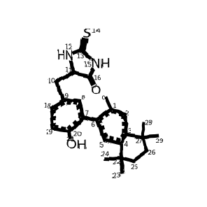 Cc1cc2c(cc1-c1cc(CC3NC(=S)NC3=O)ccc1O)C(C)(C)CCC2(C)C